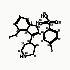 CCc1cccc2[nH]cc(C3CCNCC3)c12.Cc1ccc(S(=O)(=O)O)cc1